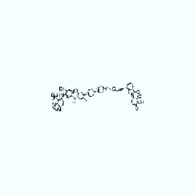 COc1cc(N2CCC(N3CCN(CCOCC#Cc4cccc5c4CN(C4CCC(=O)NC4=O)C5=O)CC3)CC2)c(C)cc1Nc1ncc(Br)c(Nc2ccc3nccnc3c2P(C)(C)=O)n1